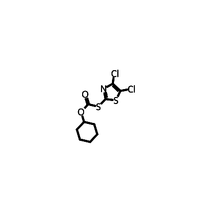 O=C(OC1CCCCC1)Sc1nc(Cl)c(Cl)s1